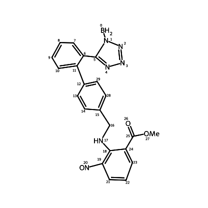 Bn1nnnc1-c1ccccc1-c1ccc(CNc2c(N=O)cccc2C(=O)OC)cc1